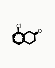 O=C1CCc2cccc(Cl)c2C1